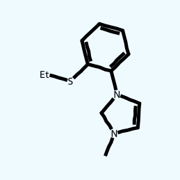 CCSc1ccccc1N1C=CN(C)C1